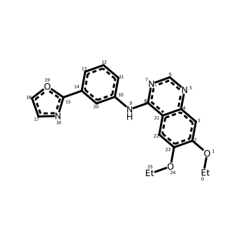 CCOc1cc2ncnc(Nc3cccc(-c4ncco4)c3)c2cc1OCC